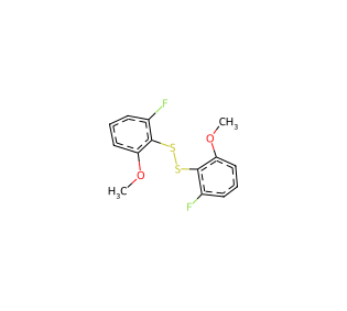 COc1cccc(F)c1SSc1c(F)cccc1OC